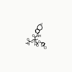 CN1CCc2ccc(NC(=O)[C@@](C)(COC(=O)N(C)C)NC(=O)Oc3ccc(Cl)s3)cc2CC1